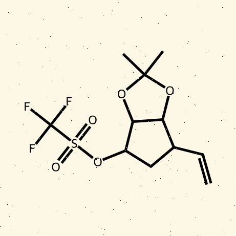 C=CC1CC(OS(=O)(=O)C(F)(F)F)C2OC(C)(C)OC12